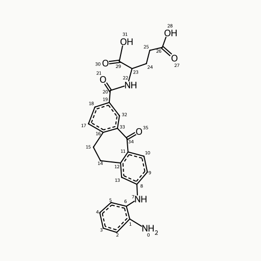 Nc1ccccc1Nc1ccc2c(c1)CCc1ccc(C(=O)NC(CCC(=O)O)C(=O)O)cc1C2=O